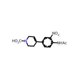 CC(=O)Nc1ccc(C2=CCN(C(=O)O)CC2)cc1[N+](=O)[O-]